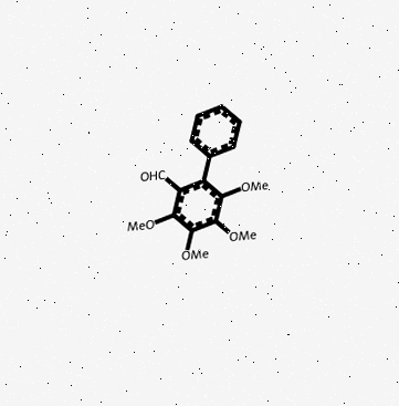 COc1c(C=O)c(-c2ccccc2)c(OC)c(OC)c1OC